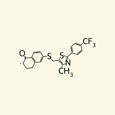 Cc1nc(-c2ccc(C(F)(F)F)cc2)sc1CSc1ccc2c(c1)CC[CH]C2=O